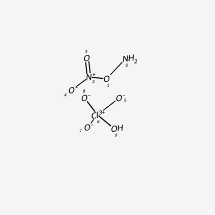 NO[N+](=O)[O-].[O-][Cl+3]([O-])([O-])O